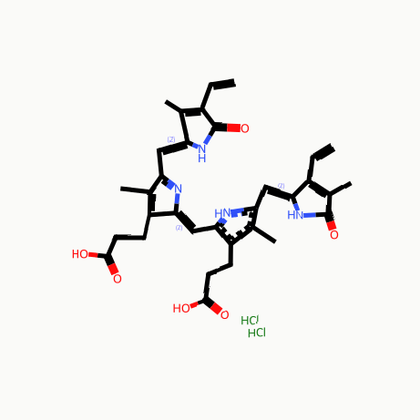 C=CC1=C(C)/C(=C/C2=NC(=C\c3[nH]c(/C=C4\NC(=O)C(C)=C4C=C)c(C)c3CCC(=O)O)/C(CCC(=O)O)=C2C)NC1=O.Cl.Cl